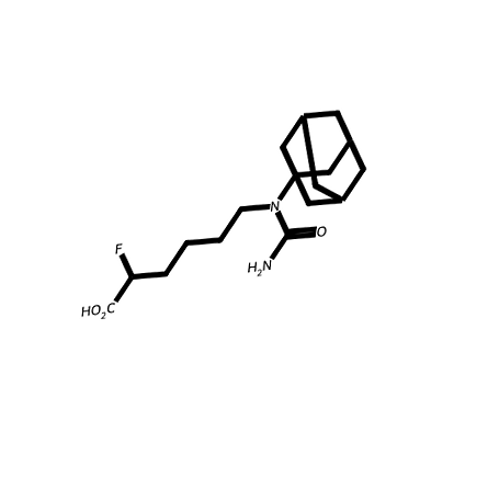 NC(=O)N(CCCCC(F)C(=O)O)C12CC3CC(CC(C3)C1)C2